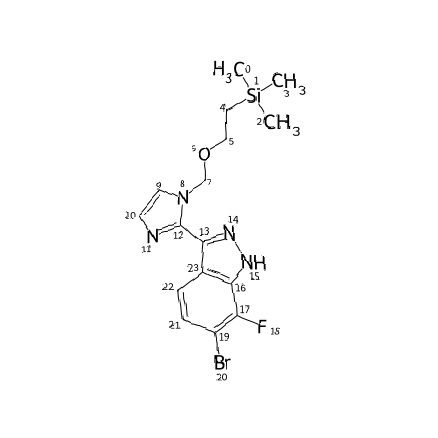 C[Si](C)(C)CCOCn1ccnc1-c1n[nH]c2c(F)c(Br)ccc12